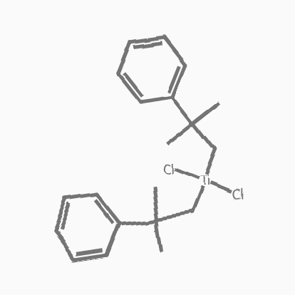 CC(C)([CH2][Ti]([Cl])([Cl])[CH2]C(C)(C)c1ccccc1)c1ccccc1